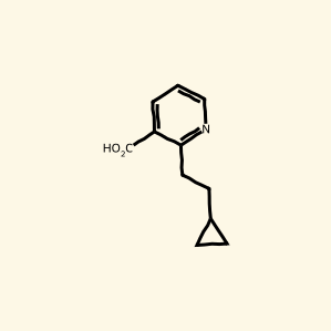 O=C(O)c1cccnc1CCC1CC1